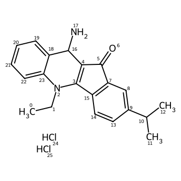 CCN1C2=C(C(=O)c3cc(C(C)C)ccc32)C(N)c2ccccc21.Cl.Cl